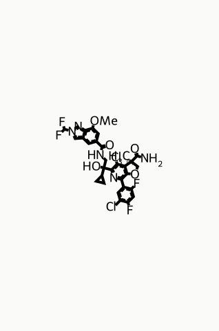 COc1cc(C(=O)NCC(O)(c2nc(-c3cc(Cl)c(F)cc3F)c3c(c2Cl)[C@@](C)(C(N)=O)CO3)C2CC2)cc2cn(C(F)F)nc12